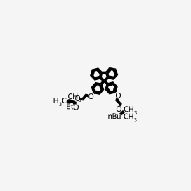 CCCCC(C)(C)OCCOc1ccc(C2(c3ccc(OCCOC(=O)C(C)(C)CC)cc3)c3ccccc3-c3ccccc32)cc1